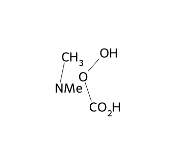 CNC.O=C(O)OO